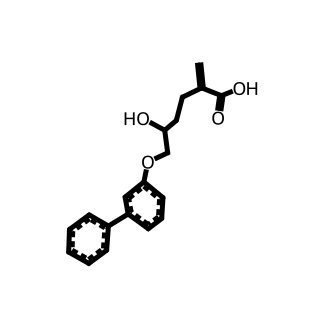 C=C(CCC(O)COc1cccc(-c2ccccc2)c1)C(=O)O